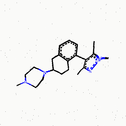 Cc1nn(C)c(C)c1-c1cccc2c1CCC(N1CCN(C)CC1)C2